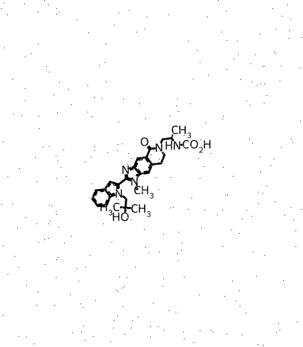 C[C@H](CN1CCc2cc3c(cc2C1=O)nc(-c1cc2ccccc2n1CC(C)(C)O)n3C)NC(=O)O